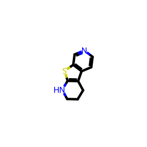 c1cc2c3c(sc2cn1)NCCC3